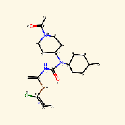 C=C(NC(=O)N(C1CCC(C)CC1)C1CCN(C(C)=O)CC1)S/C(Cl)=C\C